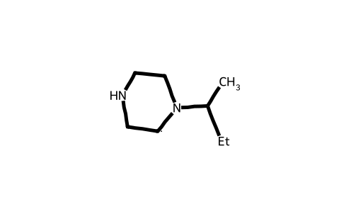 CCC(C)N1[CH]CNCC1